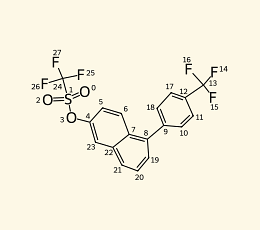 O=S(=O)(Oc1ccc2c(-c3ccc(C(F)(F)F)cc3)cccc2c1)C(F)(F)F